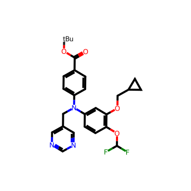 CC(C)(C)OC(=O)c1ccc(N(Cc2cncnc2)c2ccc(OC(F)F)c(OCC3CC3)c2)cc1